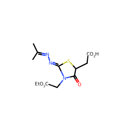 CCOC(=O)CN1C(=O)C(CC(=O)O)SC1=NN=C(C)C